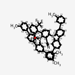 Cc1cccc(-c2ccc3c4ccc(-c5cccc(C)c5)cc4n(-c4ccc(-c5c(C(F)(F)F)cccc5C(F)(F)F)c(-n5c6cc(-c7cccc(C)c7)ccc6c6ccc(-c7cccc(C)c7)cc65)c4C#N)c3c2)c1